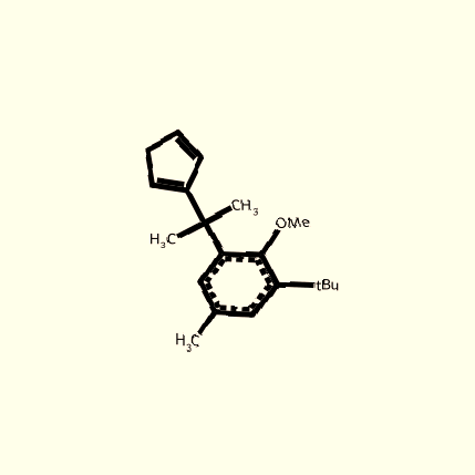 COc1c(C(C)(C)C)cc(C)cc1C(C)(C)C1=CCC=C1